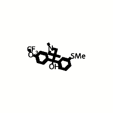 CSc1cccc([C@](O)(c2ccc(OC(F)(F)F)cc2)C2(C)CN(C)C2)c1